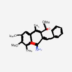 COC(=O)C(/C(=C\c1ccccc1)C(N)=O)=C(\C)c1cc(OC)c(OC)c(OC)c1